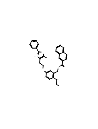 Cc1oc(-c2ccccc2)nc1CCOc1ccc(CCC(=O)O)c(CNC(=O)c2ccc3ccccc3c2)c1